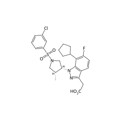 C[C@@H]1CN(S(=O)(=O)c2cccc(Cl)c2)C[C@@H]1n1nc(CC(=O)O)c2ccc(F)c(C3CCCC3)c21